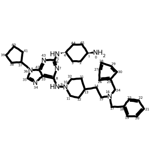 N[C@H]1CC[C@H](Nc2nc(NN3CCC(CCN(Cc4ccccc4)Cc4ccccc4)CC3)c3ncn(C4CCCC4)c3n2)CC1